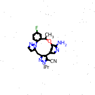 CC1Oc2cc(cnc2N)-c2c(nn(C(C)C)c2C#N)Cc2ccnn2-c2ccc(F)cc21